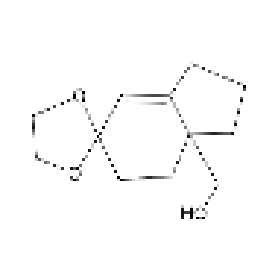 OCC12CCCC1=CC1(CC2)OCCO1